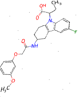 CCC(C(=O)O)n1c2c(c3cc(F)ccc31)CC(NC(=O)COc1cccc(OC)c1)CC2